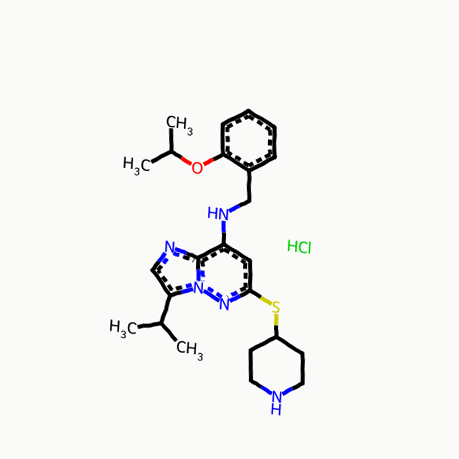 CC(C)Oc1ccccc1CNc1cc(SC2CCNCC2)nn2c(C(C)C)cnc12.Cl